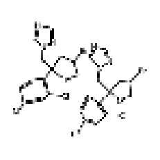 Clc1ccc(C2(Cn3cncn3)CC(Br)CO2)c(Cl)c1.Clc1ccc(C2(Cn3cncn3)CC(Br)CO2)c(Cl)c1